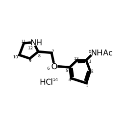 CC(=O)Nc1cccc(OCC2CCCN2)c1.Cl